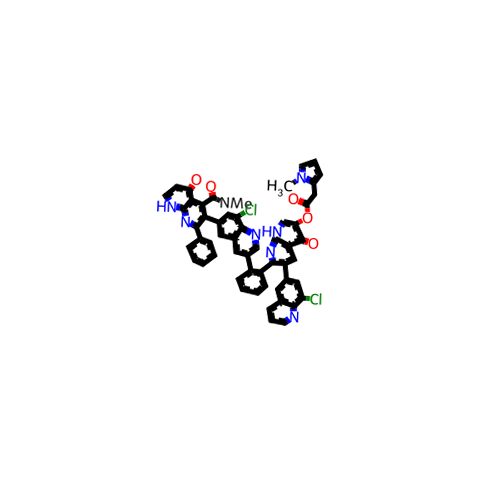 CNC(=O)c1c(-c2cc(Cl)c3ncc(-c4ccccc4-c4nc5[nH]cc(OC(=O)Cc6cccn6C)c(=O)c5cc4-c4cc(Cl)c5ncccc5c4)cc3c2)c(-c2ccccc2)nc2[nH]ccc(=O)c12